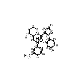 Cc1nc(C(=O)N2CCC[C@@H](C)C2CNc2cc(C(F)(F)F)ccn2)c(-c2ccc(F)cc2)s1